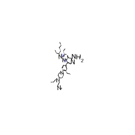 C=C1C(N)=NC=C(c2ccc(N3CCC(N(CCC)CCN(C)C)CC3)c(CC)c2)/C1=N/C(=C(\C)CC)N(C)C(CC)CCCC